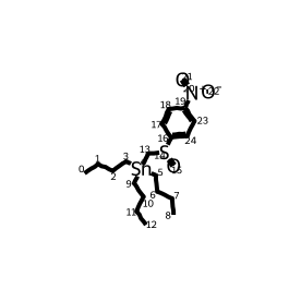 CCC[CH2][Sn]([CH2]CCC)([CH2]CCC)[CH2]S(=O)c1ccc([N+](=O)[O-])cc1